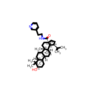 C=C(C)[C@@H]1CC[C@]2(C(=O)NCCc3cccnc3)CC[C@]3(C)[C@H](CC[C@@H]4[C@@]5(C)CC[C@H](O)C(C)(C)[C@@H]5CC[C@]43C)[C@@H]12